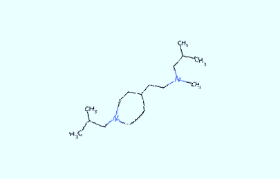 CC(C)CN(C)CCC1CCN(CC(C)C)CC1